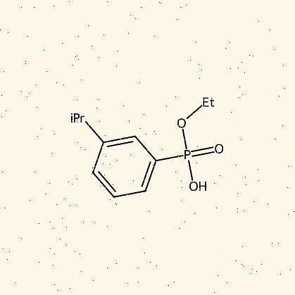 CCOP(=O)(O)c1cccc(C(C)C)c1